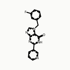 O=c1[nH]c(-c2cccnc2)nc2ncn(Cc3cccc(F)c3)c12